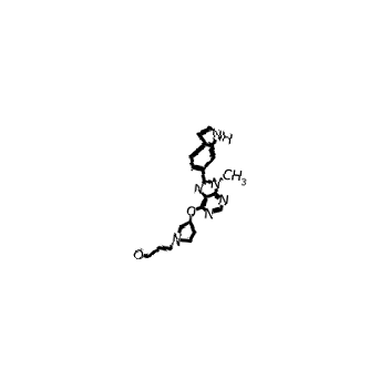 Cn1c(-c2ccc3cc[nH]c3c2)nc2c(OC3CCN(CCC=O)C3)ncnc21